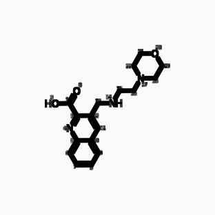 O=C(O)c1nc2ccccc2cc1CNCCN1CCOCC1